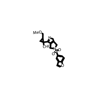 COCC1CC1(C=O)C1=NCC2=C1CN(S(=O)(=O)c1ccc3occc3c1)C2